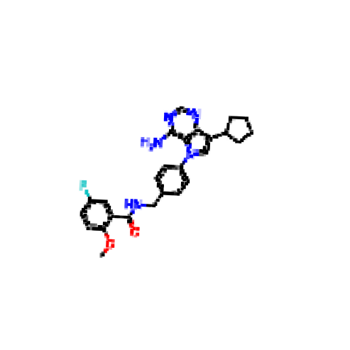 COc1ccc(F)cc1C(=O)NCc1ccc(-n2cc(C3CCCC3)c3ncnc(N)c32)cc1